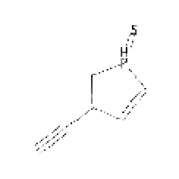 C#CC1C=C[PH](=S)C1